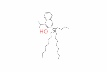 CCCCCCCC[Si](CCCC)(CCCCCCCC)c1cc2ccccc2c(C(C)C)c1O